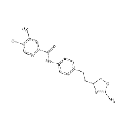 Cc1cc(C(=O)Nc2ccc(CCC3COC(N)=N3)cc2)ncc1Cl